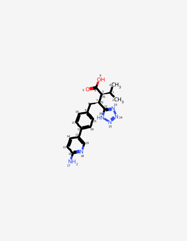 CC(C)[C@H](C(=O)O)[C@H](Cc1ccc(-c2ccc(N)nc2)cc1)c1nnn[nH]1